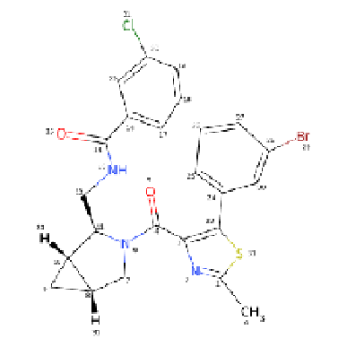 Cc1nc(C(=O)N2C[C@@H]3C[C@@H]3[C@H]2CNC(=O)c2cccc(Cl)c2)c(-c2cccc(Br)c2)s1